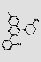 Cc1ccc2c(N3CCCC(N)C3)nc(-c3ccccc3O)nc2c1